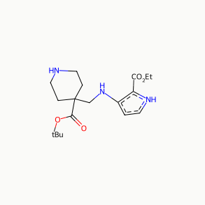 CCOC(=O)c1[nH]ccc1NCC1(C(=O)OC(C)(C)C)CCNCC1